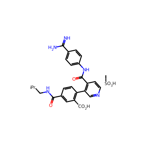 CC(C)CNC(=O)c1ccc(-c2cnccc2C(=O)Nc2ccc(C(=N)N)cc2)c(C(=O)O)c1.CS(=O)(=O)O